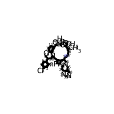 CCCc1cc(Cl)ccc1C1COc2ccc3cc2N(C1)CC1CCC1C(CN1CCc2ncncc2C1)/C=C/CC(C)C(C)S(=O)(=O)NC3=O